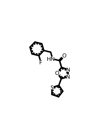 O=C(NCc1ccccc1F)c1nnc(-c2cccs2)o1